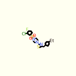 CCc1ccc(Cc2csc(N3CCN(S(=O)(=O)c4ccc(F)c(Cl)c4)CC3)n2)cc1